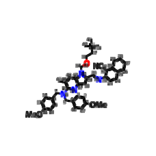 COc1ccc(CN(Cc2ccc(OC)cc2)c2nc3cc(C=Nc4ccc5ccccc5c4C#N)n(COCC[Si](C)(C)C)c3cc2C)cc1